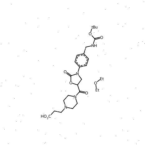 CC(C)(C)OC(=O)NCc1ccc(N2CC(C(=O)N3CCN(CCC(=O)O)CC3)OC2=O)cc1.CCOCC